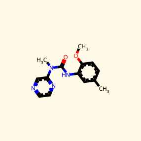 COc1ccc(C)cc1NC(=O)N(C)c1cnccn1